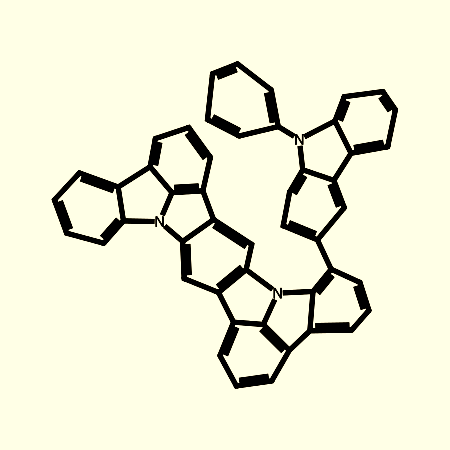 c1ccc(-n2c3ccccc3c3cc(-c4cccc5c6cccc7c8cc9c(cc8n(c45)c76)c4cccc5c6ccccc6n9c54)ccc32)cc1